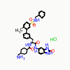 Cc1ccc(S(=O)(=O)NCc2ccccc2)cc1-c1cccc(C[C@H](NC(=O)C2CCC(CN)CC2)C(=O)Nc2ccc3[nH]c(=O)[nH]c3c2)c1.Cl